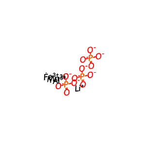 O=P([O-])([O-])[O-].O=P([O-])([O-])[O-].O=P([O-])([O-])[O-].[Al+3].[Fe+3].[Li+].[Mn+2]